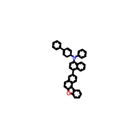 C1=CC(N(c2ccccc2)c2ccc(-c3ccc4c(ccc5oc6ccccc6c54)c3)c3ccccc23)CC=C1c1ccccc1